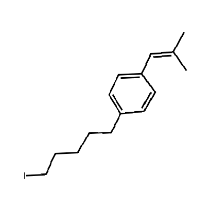 CC(C)=Cc1ccc(CCCCCI)cc1